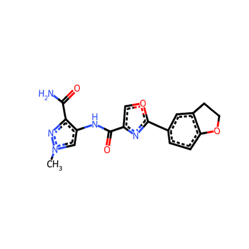 Cn1cc(NC(=O)c2coc(-c3ccc4c(c3)CCO4)n2)c(C(N)=O)n1